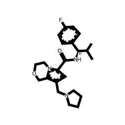 CC(C)[C@@H](NC(=O)c1cc(CN2CCCC2)c2n1CCOC2)c1ccc(F)cc1